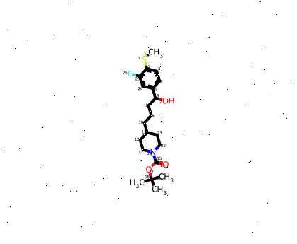 CSc1ccc(C(O)CCCC2CCN(C(=O)OC(C)(C)C)CC2)cc1F